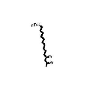 CCCCCCCCCCCCCCCCCCCCC(Br)CC(C)Br